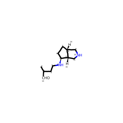 CC([CH]CN[C@H]1CC[C@@H]2CNC[C@@H]21)C=O